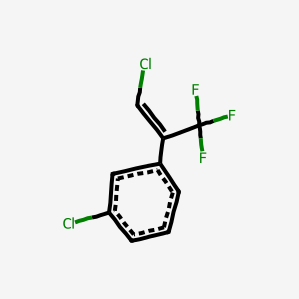 FC(F)(F)C(=CCl)c1cccc(Cl)c1